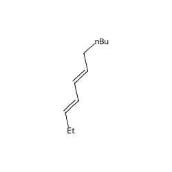 [CH2]CCCC/C=C/C=C/CC